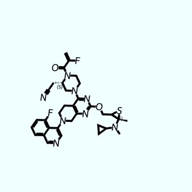 C=C(F)C(=O)N1CCN(c2nc(OCC3S[C@]3(C)N(C)C3CC3)nc3c2CCN(c2cncc4cccc(F)c24)C3)C[C@@H]1CC#N